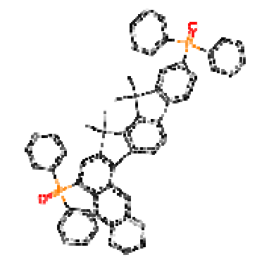 CC1(C)c2cc(P(=O)(c3ccccc3)c3ccccc3)ccc2-c2ccc3c(c21)C(C)(C)c1cc(P(=O)(c2ccccc2)c2ccccc2)c2cc4ccccc4cc2c1-3